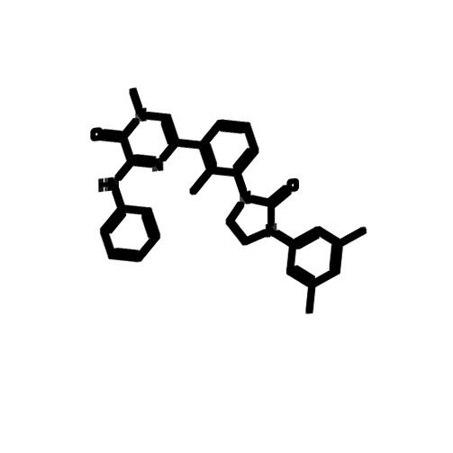 Cc1cc(C)cc(N2CCN(c3cccc(-c4cn(C)c(=O)c(Nc5ccccc5)n4)c3C)C2=O)c1